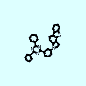 c1ccc(-c2nc(-c3ccccc3)nc(-c3cccc(-n4ccc5c6sc7ccccc7c6ccc54)c3)n2)cc1